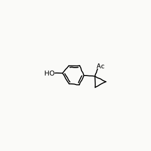 CC(=O)C1(c2ccc(O)cc2)CC1